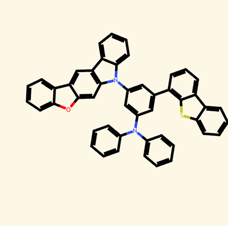 c1ccc(N(c2ccccc2)c2cc(-c3cccc4c3sc3ccccc34)cc(-n3c4ccccc4c4cc5c(cc43)oc3ccccc35)c2)cc1